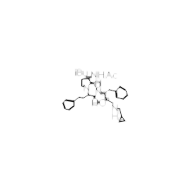 CCC(C)[C@@]1(NC(C)=O)CCN(C(CCc2ccccc2)C(=O)N[C@@H](Cc2ccccc2)[C@H](O)CNCC2CC2)C1=O